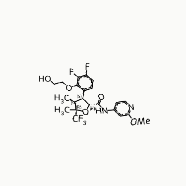 COc1cc(NC(=O)[C@@H]2O[C@@](C)(C(F)(F)F)[C@@H](C)[C@H]2c2ccc(F)c(F)c2OCCO)ccn1